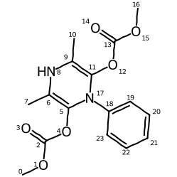 COC(=O)OC1=C(C)NC(C)=C(OC(=O)OC)N1c1ccccc1